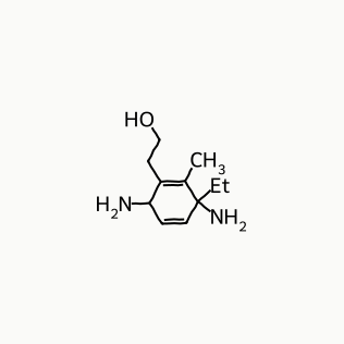 CCC1(N)C=CC(N)C(CCO)=C1C